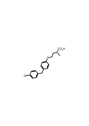 CN(CCOc1ccc(Cc2ccc(Cl)cc2)cc1)C(=O)O